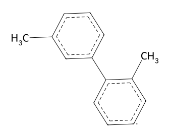 Cc1cccc(-c2cc[c]cc2C)c1